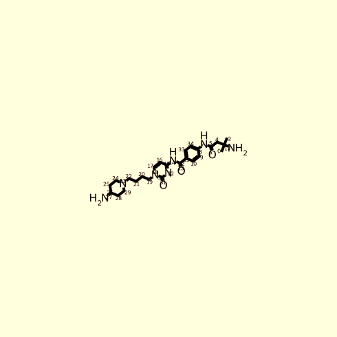 CC(C)(N)CC(=O)Nc1ccc(C(=O)Nc2ccn(CCCCN3CCC(N)CC3)c(=O)n2)cc1